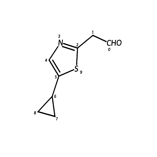 O=CCc1ncc(C2CC2)s1